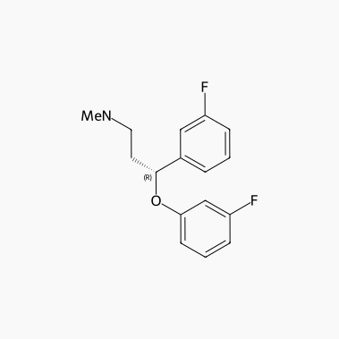 CNCC[C@@H](Oc1cccc(F)c1)c1cccc(F)c1